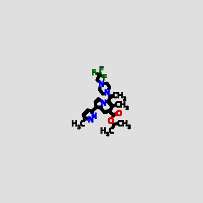 C=C(c1c(C)c(C(=O)OC(C)C)cc2c(-c3ccc(C)nn3)ccn12)N1CCN(CC(F)(F)F)CC1